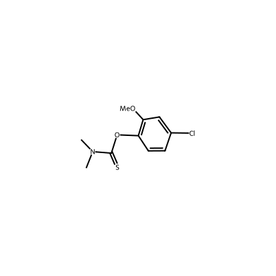 COc1cc(Cl)ccc1OC(=S)N(C)C